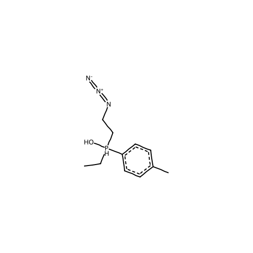 CC[PH](O)(CCN=[N+]=[N-])c1ccc(C)cc1